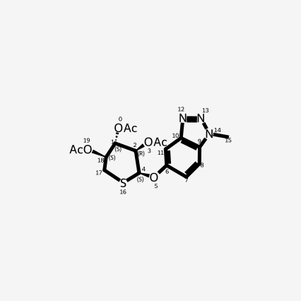 CC(=O)O[C@@H]1[C@@H](OC(C)=O)[C@@H](Oc2ccc3c(c2)nnn3C)SC[C@H]1OC(C)=O